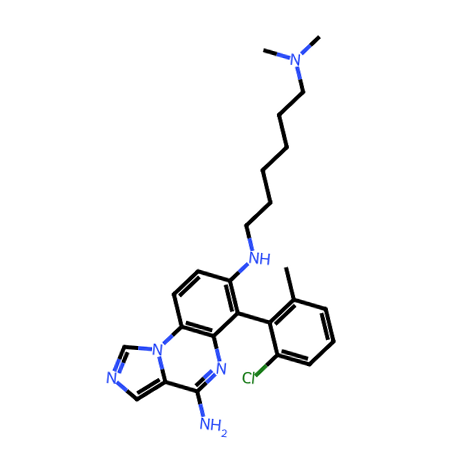 Cc1cccc(Cl)c1-c1c(NCCCCCCN(C)C)ccc2c1nc(N)c1cncn12